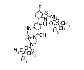 C=C1c2cc(Cl)c(-c3ccc(F)c4sc(NC(=O)OC(C)(C)C)nc34)cc2NCC[C@H]2CN(C(=O)OC(C)(C)C)CCN12